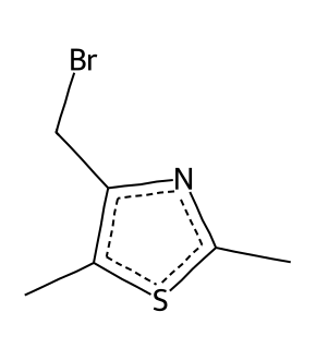 Cc1nc(CBr)c(C)s1